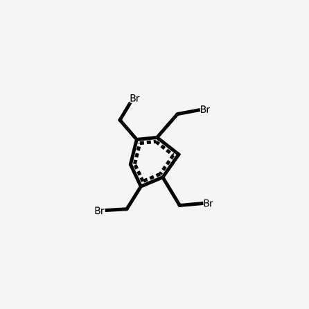 BrCc1cc(CBr)c(CBr)cc1CBr